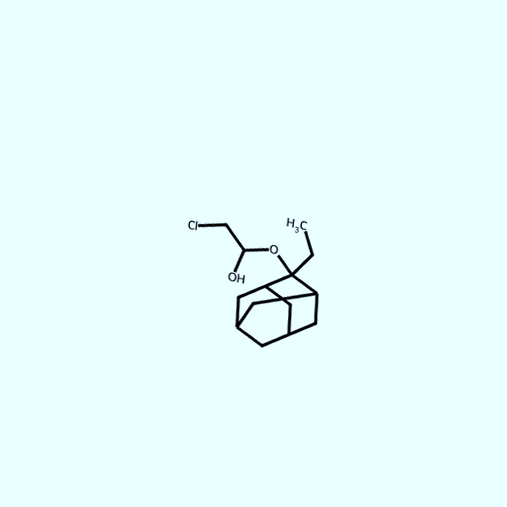 CCC1(OC(O)CCl)C2CC3CC(C2)CC1C3